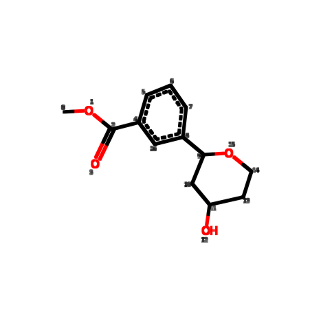 COC(=O)c1cccc(C2CC(O)CCO2)c1